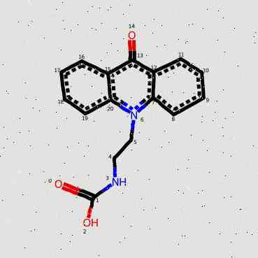 O=C(O)NCCn1c2ccccc2c(=O)c2ccccc21